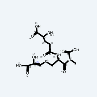 CN(C(=O)O)C(=O)C(CS/C=C(\O)C(=O)O)NC(=O)CCC(N)C(=O)O